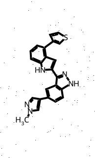 Cn1cc(-c2ccc3[nH]nc(-c4cc5c(-c6ccsc6)cccc5[nH]4)c3c2)cn1